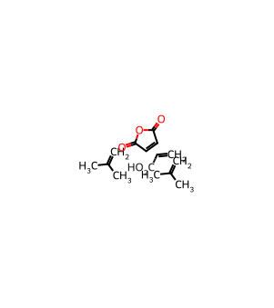 C=C(C)C.C=C(C)C.C=CC(=O)O.O=C1C=CC(=O)O1